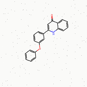 O=c1cc(-c2cccc(Oc3ccccc3)c2)[nH]c2ccccc12